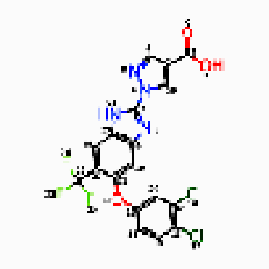 O=C(O)c1cnn(-c2nc3cc(Oc4ccc(Cl)c(Cl)c4)c(C(F)(F)F)cc3[nH]2)c1